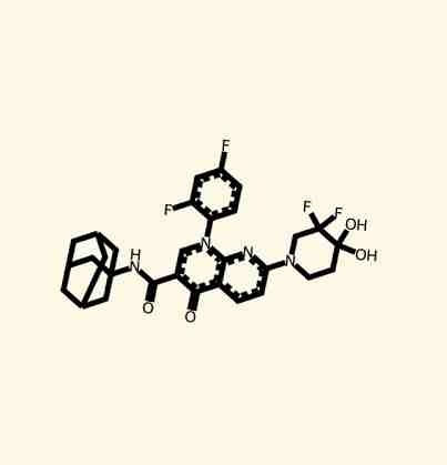 O=C(NC12CC3CC(CC(C3)C1)C2)c1cn(-c2ccc(F)cc2F)c2nc(N3CCC(O)(O)C(F)(F)C3)ccc2c1=O